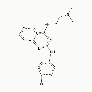 CCc1ccc(Nc2nc(NCCN(C)C)c3ccccc3n2)cc1